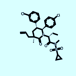 C=CC[C@@]1(C)C[C@H](c2cccc(Cl)c2)[C@@H](c2ccc(Cl)cc2)N([C@H](CC)C(=O)N(C)S(=O)(=O)C2CC2)C1=O